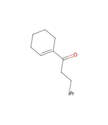 CC(C)CCC(=O)C1=CCCCC1